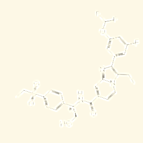 CCc1c(-c2cc(F)cc(OC(F)F)c2)nc2cc(C(=O)N[C@@H](CO)c3ccc(S(=O)(=O)CC)cc3)ccn12